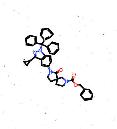 O=C(OCc1ccccc1)N1CCC2(CCN(c3ccc4c(c3)c(C3CC3)nn4C(c3ccccc3)(c3ccccc3)c3ccccc3)C2=O)C1